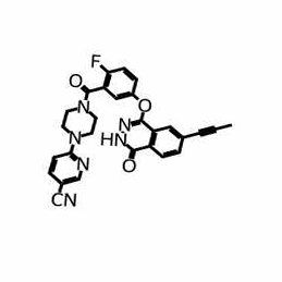 CC#Cc1ccc2c(=O)[nH]nc(Oc3ccc(F)c(C(=O)N4CCN(c5ccc(C#N)cn5)CC4)c3)c2c1